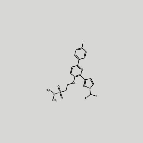 CN(C)S(=O)(=O)CCNc1ccc(-c2ccc(F)cc2)nc1-c1ccn(C(F)F)n1